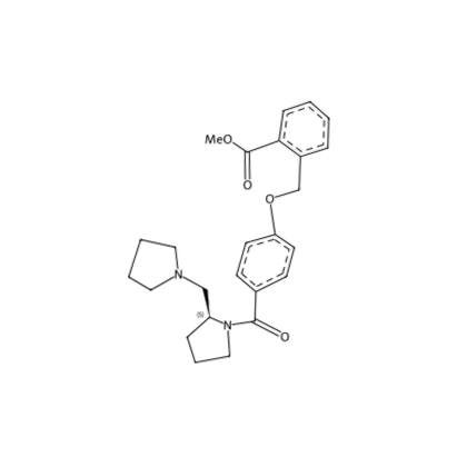 COC(=O)c1ccccc1COc1ccc(C(=O)N2CCC[C@H]2CN2CCCC2)cc1